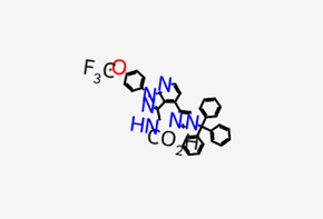 O=C(O)NCc1nn(-c2ccc(OC(F)(F)F)cc2)c2nccc(-c3cn(C(c4ccccc4)(c4ccccc4)c4ccccc4)cn3)c12